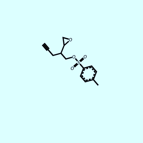 C#CCC(COS(=O)(=O)c1ccc(C)cc1)C1CO1